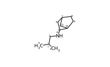 CC(C)CNC1CC2CCC1C2